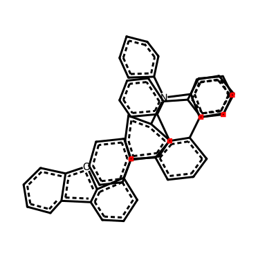 c1ccc(-c2ccccc2-c2c(-c3ccccc3)cccc2-c2ccccc2N(c2ccccc2)c2ccc(-c3cccc4c3oc3ccccc34)cc2)cc1